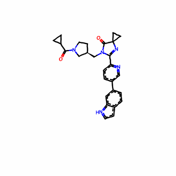 O=C(C1CC1)N1CC[C@@H](CN2C(=O)C3(CC3)N=C2c2ccc(-c3ccc4cc[nH]c4c3)cn2)C1